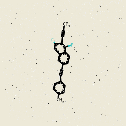 Cc1ccc(C#Cc2ccc3c(F)c(C#CC(F)(F)F)c(F)cc3c2)cc1